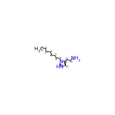 CCCCCCCC[n+]1c[nH]cc1CCN